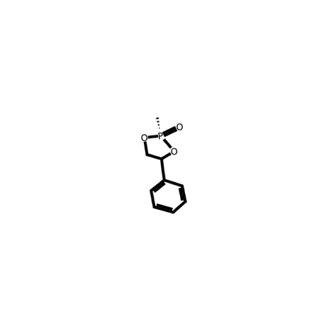 C[P@@]1(=O)OCC(c2ccccc2)O1